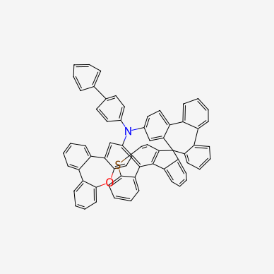 c1ccc(-c2ccc(N(c3ccc4c(c3)-c3ccccc3-c3ccccc3O4)c3ccc4c(c3)C3(c5ccccc5-c5ccccc5-4)c4ccccc4-c4c3ccc3sc5ccccc5c43)cc2)cc1